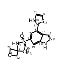 CC1(NS(=O)(=O)c2cc(N3NC=CS3)c3cn[nH]c3c2)COC1